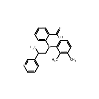 Cc1cccc(N(CC(C)c2cccnc2)c2ccccc2C(=O)O)c1C